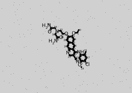 CCOc1cc2cc3c(Nc4cc(OC)c(Cl)cc4C)c(C#N)cnc3cc2cc1OCCN(CC(N)=O)CC(N)=O